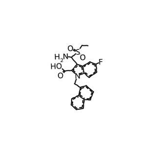 CCS(=O)(=O)C(N)c1c(C(=O)O)n(Cc2cccc3ccccc23)c2ccc(F)cc12